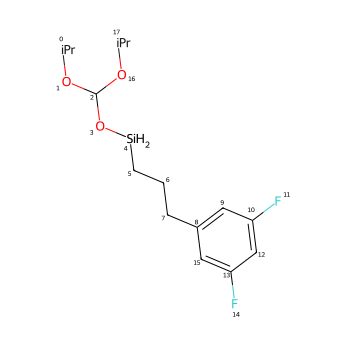 CC(C)OC(O[SiH2]CCCc1cc(F)cc(F)c1)OC(C)C